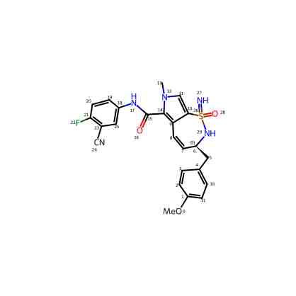 COc1ccc(C[C@H]2C=Cc3c(cn(C)c3C(=O)Nc3ccc(F)c(C#N)c3)S(=N)(=O)N2)cc1